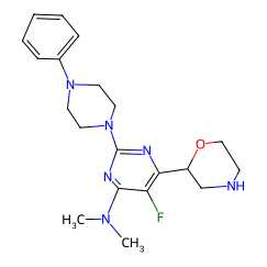 CN(C)c1nc(N2CCN(c3ccccc3)CC2)nc(C2CNCCO2)c1F